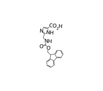 O=C(NCc1ncc(C(=O)O)[nH]1)OCC1c2ccccc2-c2ccccc21